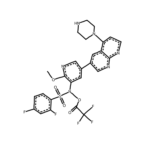 COc1ncc(-c2cnc3nccc(N4CCNCC4)c3c2)cc1N(OC(=O)C(F)(F)F)S(=O)(=O)c1ccc(F)cc1F